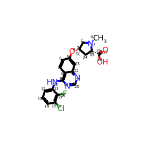 CN1C[C@@H](Oc2ccc3c(Nc4cccc(Cl)c4F)ncnc3c2)C[C@H]1C(=O)O